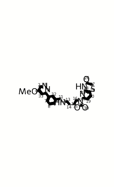 COc1cnnc(-c2cccc(CNCC[C@@H]3CN(c4ccc5c(n4)NC(=O)CS5)C(=O)O3)c2)c1